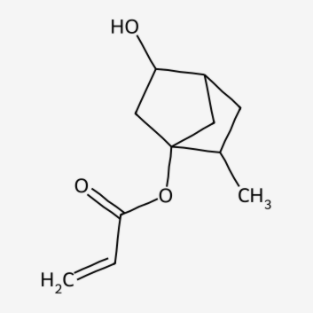 C=CC(=O)OC12CC(O)C(CC1C)C2